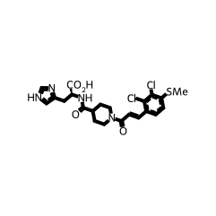 CSc1ccc(/C=C/C(=O)N2CCC(C(=O)N[C@@H](Cc3c[nH]cn3)C(=O)O)CC2)c(Cl)c1Cl